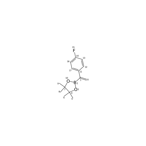 C=C(B1OC(C)(C)C(C)(C)O1)c1ccc(F)cc1